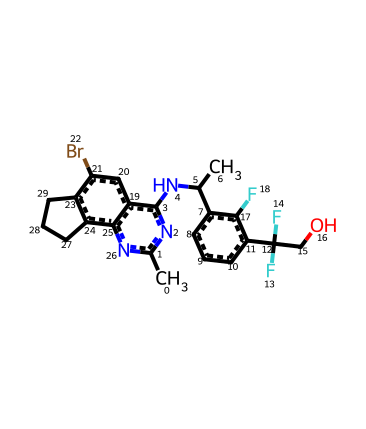 Cc1nc(NC(C)c2cccc(C(F)(F)CO)c2F)c2cc(Br)c3c(c2n1)CCC3